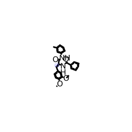 COc1ccc(/C=C(\NC(=O)c2ccccc2)C(=O)Nc2cccc(C)c2)cc1OC